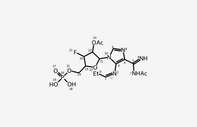 CC/C=N\c1c(C(=N)NC(C)=O)ncn1C1OC(COP(=O)(O)O)C(F)C1OC(C)=O